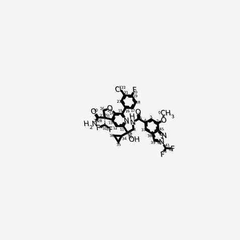 COc1cc(C(=O)NC[C@](O)(c2cc3c(c(-c4ccc(F)c(Cl)c4)n2)OC[C@@]3(C(N)=O)C(F)F)C2CC2)cc2cn(C(F)F)nc12